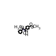 COC(=O)C1C=C2NC(=O)/C(=C(/OC)c3ccccc3)C2=CC1